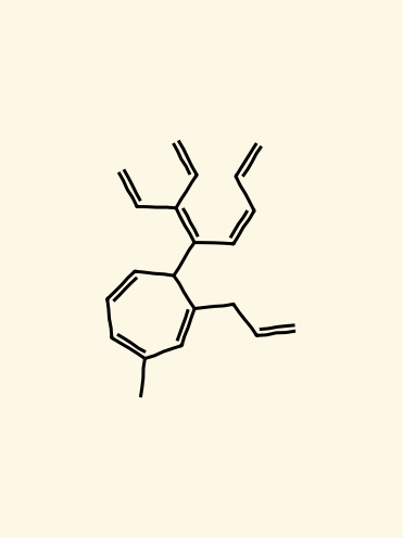 C=C/C=C\C(=C(C=C)C=C)C1C=CC=C(C)C=C1CC=C